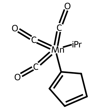 C[CH](C)[Mn](=[C]=O)(=[C]=O)(=[C]=O)[C]1=CC=CC1